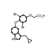 O=C(O)COc1cc(Br)c(Oc2ccc3[nH]cc(CC4CC4)c3c2)c(Br)c1